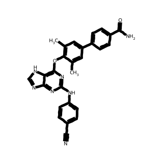 Cc1cc(-c2ccc(C(N)=O)cc2)cc(C)c1Oc1nc(Nc2ccc(C#N)cc2)nc2nc[nH]c12